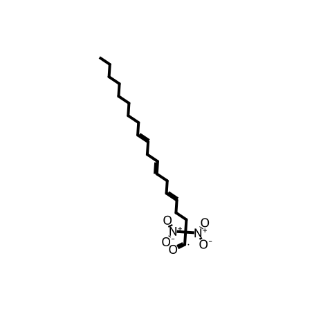 CCCCCCCCC=CCC=CCC=CCCC([C]=O)([N+](=O)[O-])[N+](=O)[O-]